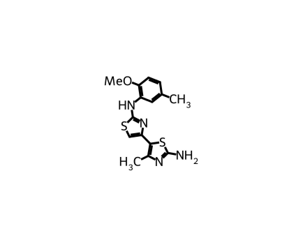 COc1ccc(C)cc1Nc1nc(-c2sc(N)nc2C)cs1